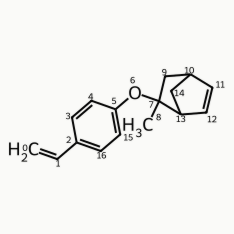 C=Cc1ccc(OC2(C)CC3C=CC2C3)cc1